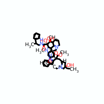 CCC1(O)C[C@H]2C[N@](CCc3c([nH]c4ccccc34)[C@@](C(=O)OC)(c3cc4c(cc3OC)N(C)C3[C@]45CCN4CC=C[C@](CC)(C45)[C@@H](O)[C@]3(O)C(=O)NCC(C)c3ccccc3)C2)C1